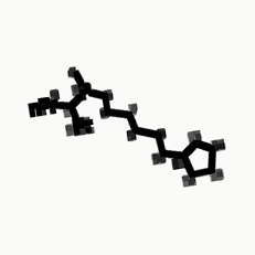 CCCC(CC)P(C)CCCCCCC1CCCC1